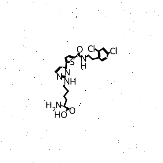 N[C@@H](CCCCNc1nccc(-c2ccc(C(=O)NCCc3ccc(Cl)cc3Cl)s2)n1)C(=O)O